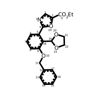 CCOC(=O)c1cnc(-c2cccc(OCc3ccccc3)c2C2OCCO2)o1